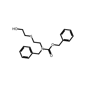 O=C(OCc1ccccc1)N(CCSCCO)Cc1ccccc1